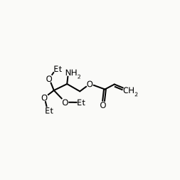 C=CC(=O)OCC(N)C(OCC)(OCC)OCC